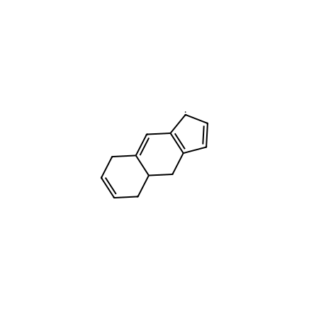 [CH]1C=CC2=C1C=C1CC=CCC1C2